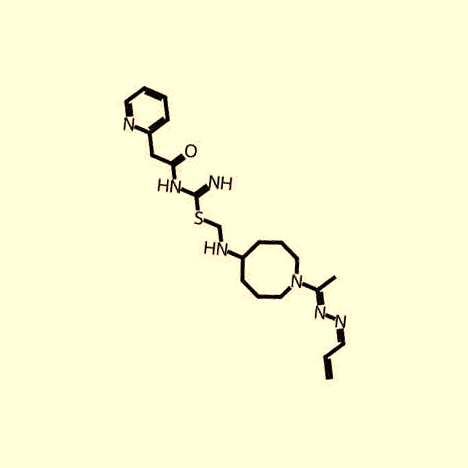 C=C/C=N\N=C(/C)N1CCCC(NCSC(=N)NC(=O)Cc2ccccn2)CCC1